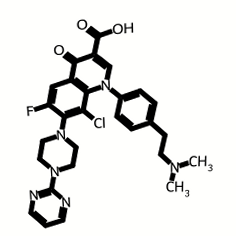 CN(C)CCc1ccc(-n2cc(C(=O)O)c(=O)c3cc(F)c(N4CCN(c5ncccn5)CC4)c(Cl)c32)cc1